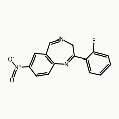 O=[N+]([O-])c1ccc2c(c1)C=NCC(c1ccccc1F)=N2